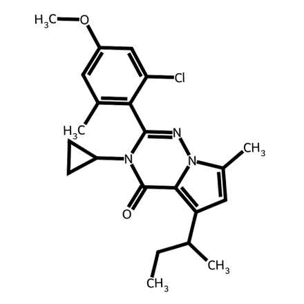 CCC(C)c1cc(C)n2nc(-c3c(C)cc(OC)cc3Cl)n(C3CC3)c(=O)c12